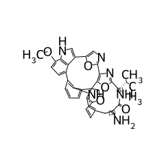 COc1ccc2c3c(c[nH]c13)-c1cnc(o1)-c1nc3oc1C14c5cc(ccc5OC1Nc1c-2cccc14)C[C@H](N)C(=O)N[C@H]3C(C)C